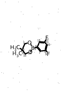 CC1(C)COB(c2cc(F)cc(F)c2)OC1